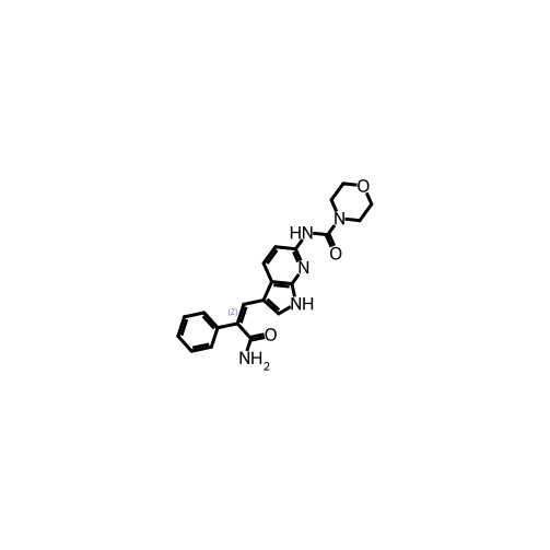 NC(=O)/C(=C\c1c[nH]c2nc(NC(=O)N3CCOCC3)ccc12)c1ccccc1